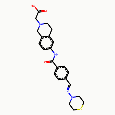 O=C(O)CN1CCc2cc(NC(=O)c3ccc(C=NN4CCSCC4)cc3)ccc2C1